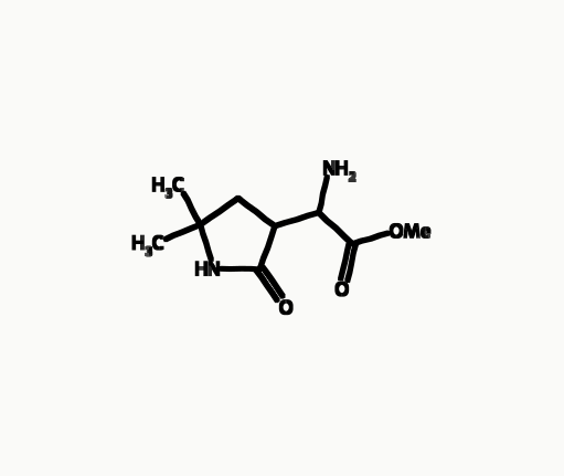 COC(=O)C(N)C1CC(C)(C)NC1=O